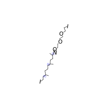 C/C(=C\CI)CC/C=C(\C)CC/C(C)=N/OCCOCCOCCI